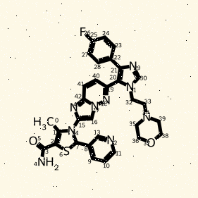 CC1=C(C(N)=O)SC(c2cccnc2)N1c1cn2nc(-c3c(-c4ccc(F)cc4)ncn3CCN3CCOCC3)ccc2n1